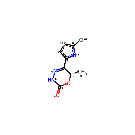 C[C@@H]1OC(=O)NN=C1c1csc(Cl)n1